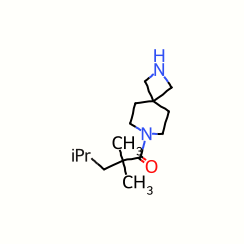 CC(C)CC(C)(C)C(=O)N1CCC2(CC1)CNC2